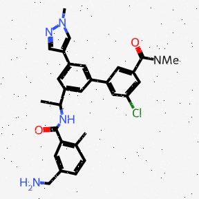 CNC(=O)c1cc(Cl)cc(-c2cc(-c3cnn(C)c3)cc(C(C)NC(=O)c3cc(CN)ccc3C)c2)c1